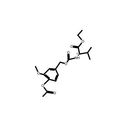 CCOC(=O)[C@@H](NC(=O)OCc1ccc(OC(C)=O)c(OC)c1)C(C)C